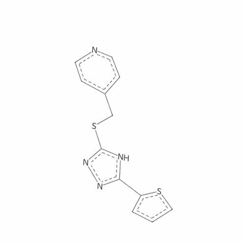 c1csc(-c2nnc(SCc3ccncc3)[nH]2)c1